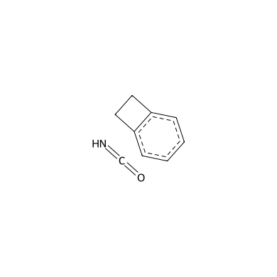 N=C=O.c1ccc2c(c1)CC2